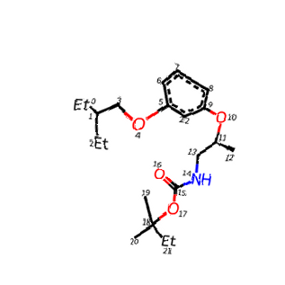 CCC(CC)COc1cccc(O[C@@H](C)CNC(=O)OC(C)(C)CC)c1